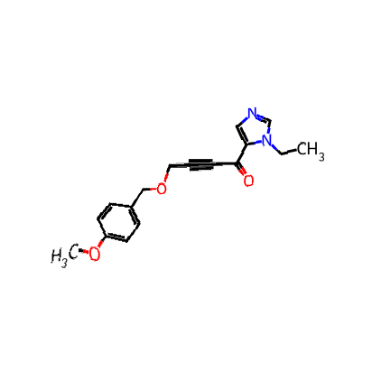 CCn1cncc1C(=O)C#CCOCc1ccc(OC)cc1